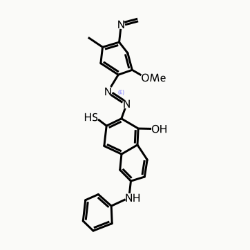 C=Nc1cc(OC)c(/N=N/c2c(S)cc3cc(Nc4ccccc4)ccc3c2O)cc1C